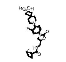 O=C(NCC1CN(c2ccc(N3CCC4(CC3)CS(O)(O)C4)c(F)c2)C(=O)O1)c1ccco1